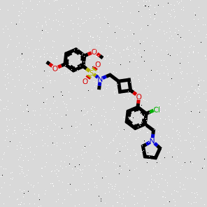 COc1ccc(OC)c(S(=O)(=O)N(C)CC2CC(Oc3cccc(CN4CCCC4)c3Cl)C2)c1